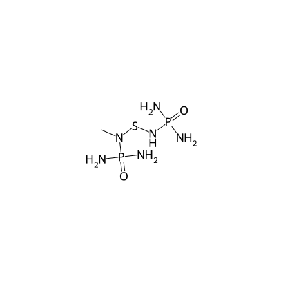 CN(SNP(N)(N)=O)P(N)(N)=O